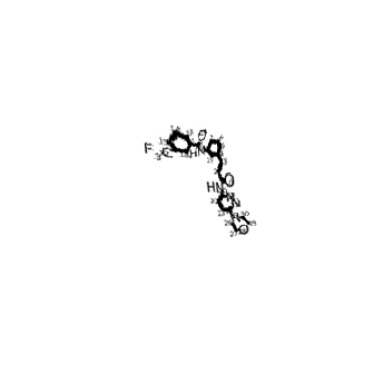 O=C(/C=C/c1cccc(NC(=O)c2cccc(C(F)(F)F)c2)c1)Nc1ccc(N2CCOCC2)nn1